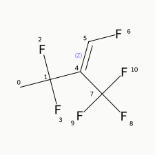 CC(F)(F)/C(=C/F)C(F)(F)F